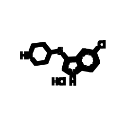 Cl.Clc1ccc2[nH]cc(SC3CCNCC3)c2c1